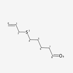 C=CCSCCCCC=O